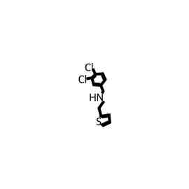 Clc1ccc(CNCCc2cccs2)cc1Cl